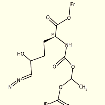 CC(C)OC(=O)[C@H](CCC(O)C=[N+]=[N-])NC(=O)OC(C)OC(=O)C(C)C